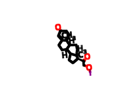 C[C@]12CCC(=O)C=C1CC[C@H]1C3CC[C@H](C(=O)COI)[C@@]3(C)CC[C@@H]12